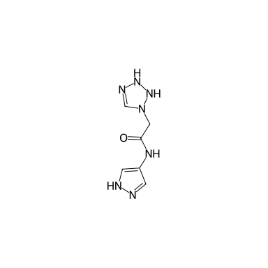 O=C(CN1C=NNN1)Nc1cn[nH]c1